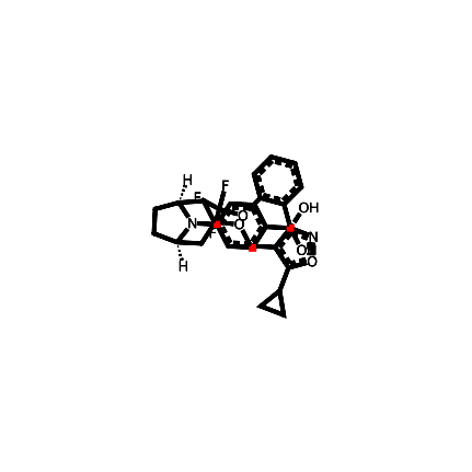 OB(O)c1ccc(N2[C@@H]3CC[C@H]2C[C@@H](OCc2c(-c4ccccc4OC(F)(F)F)noc2C2CC2)C3)cc1